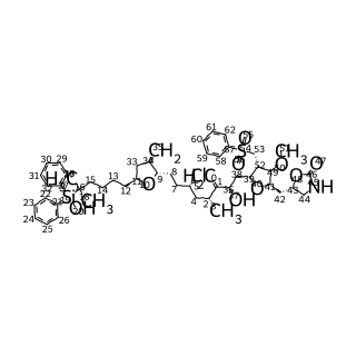 C=C([C@H](C)C[C@@H](Cl)CC[C@@H]1O[C@@H](CCCCC(C)(C)[Si](O)(c2ccccc2)c2ccccc2)CC1=C)[C@H](O)C[C@@H]1O[C@H](C[C@H]2CNC(=O)O2)[C@H](OC)[C@H]1CS(=O)(=O)c1ccccc1